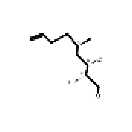 C=CCC[C@@H](C)C[C@H](Cl)[C@@H](O)CCl